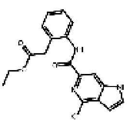 CCOC(=O)Cc1ccccc1NC(=O)c1cc2[nH]ccc2c(Cl)n1